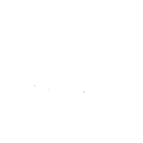 COc1c(Cl)cccc1Nc1c(-c2ccnc(Nc3cnn(C)n3)c2)nn2c1C(=O)NCC2